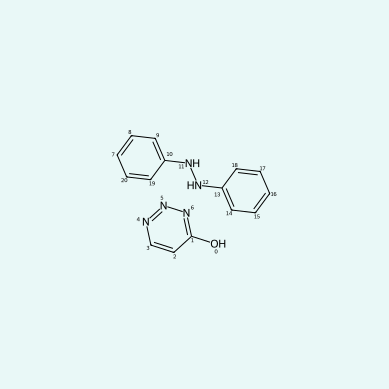 Oc1ccnnn1.c1ccc(NNc2ccccc2)cc1